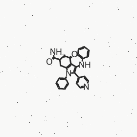 NC(=O)C1CC(=O)c2c(Nc3ccccc3)c(-c3ccncc3)n(-c3ccccc3)c2C1